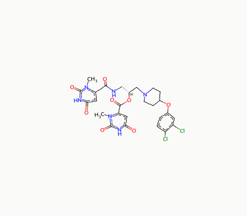 Cn1c(C(=O)NC[C@H](CN2CCC(Oc3ccc(Cl)c(Cl)c3)CC2)OC(=O)c2cc(=O)[nH]c(=O)n2C)cc(=O)[nH]c1=O